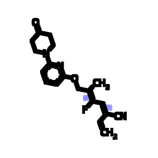 C=C/C(C#N)=C\C(F)=C(/C)COc1cccc(N2CCC(=O)CC2)n1